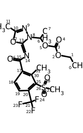 CCOC(=O)OC(C)n1nc(C)oc1=NC(=O)c1ccc(C(F)(F)F)c(S(C)(=O)=O)c1C